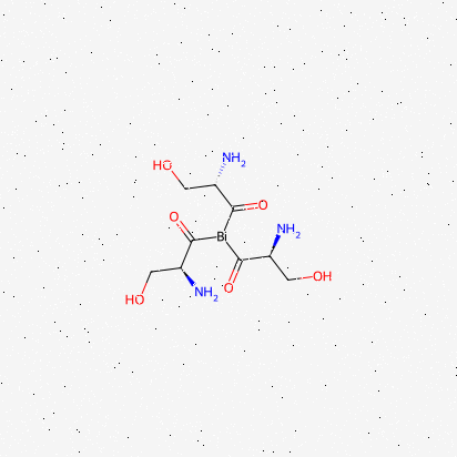 N[C@@H](CO)[C](=O)[Bi]([C](=O)[C@@H](N)CO)[C](=O)[C@@H](N)CO